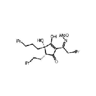 CO/N=C(/CC(C)C)C1=C(O)[C@](O)(CCCC(C)C)[C@@H](CCC(C)C)C1=O